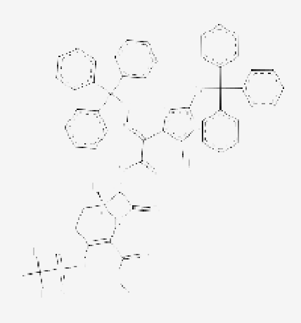 COC(=O)C1=C(OS(=O)(=O)C(F)(F)F)CC[C@@H]2[C@H](NC(=O)C(=NOC(c3ccccc3)(c3ccccc3)c3ccccc3)c3nc(NC(c4ccccc4)(c4ccccc4)c4ccccc4)sc3Cl)C(=O)N12